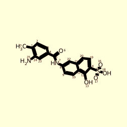 Cc1ccc(C(=O)Nc2ccc3c(O)c(S(=O)(=O)O)ccc3c2)cc1N